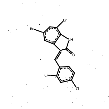 O=C1Nc2c(Br)cc(Br)cc2C1=Cc1ccc(Cl)cc1Cl